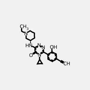 C#Cc1ccc(-c2nnc(N[C@@H]3CCCN(CC)C3)c(=O)n2C2CC2)c(O)c1